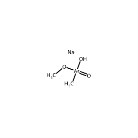 CO[As](C)(=O)O.[Na]